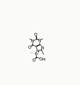 Cc1nc2c(c(=O)n(C)c(=O)n2C)n1[C@@H](C)C(=O)O